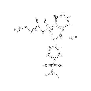 CN(C)S(=O)(=O)c1ccc(COc2ccccc2S(=O)(=O)C/C(F)=C/CN)cc1.Cl